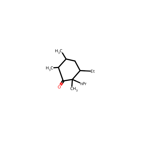 CCCC1(C)C(=O)C(C)C(C)CC1CC